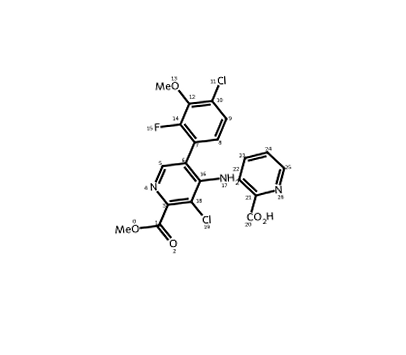 COC(=O)c1ncc(-c2ccc(Cl)c(OC)c2F)c(N)c1Cl.O=C(O)c1ccccn1